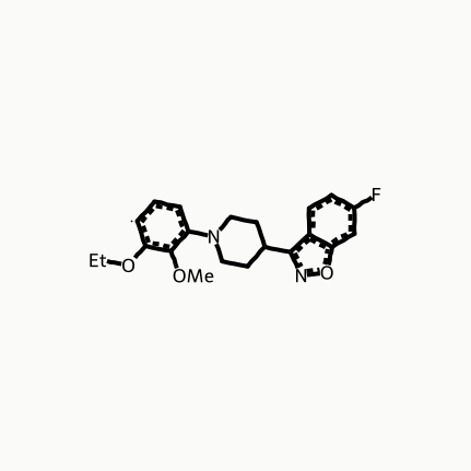 CCOc1[c]ccc(N2CCC(c3noc4cc(F)ccc34)CC2)c1OC